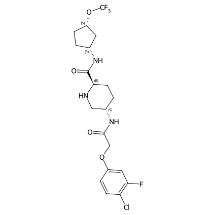 O=C(COc1ccc(Cl)c(F)c1)N[C@H]1CC[C@H](C(=O)N[C@@H]2CC[C@H](OC(F)(F)F)C2)NC1